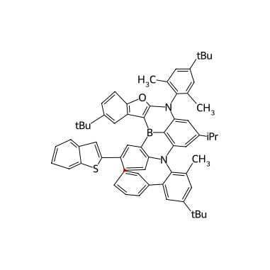 Cc1cc(C(C)(C)C)cc(C)c1N1c2cc(C(C)C)cc3c2B(c2cc(-c4cc5ccccc5s4)ccc2N3c2c(C)cc(C(C)(C)C)cc2-c2ccccc2)c2c1oc1ccc(C(C)(C)C)cc21